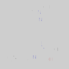 Cn1ccc(C#Cc2cc([N+](=O)[O-])cnc2NC(O)C(F)(F)F)n1